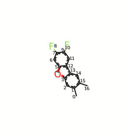 Cc1cc2oc3cc(F)c(F)cc3c2cc1C